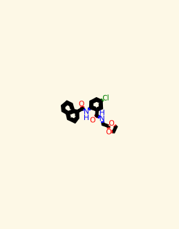 O=C(NCC1OCCO1)c1cc(Cl)ccc1NC(=O)c1cccc2ccccc12